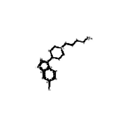 NCCCCN1CCC(c2noc3cc(F)ccc23)CC1